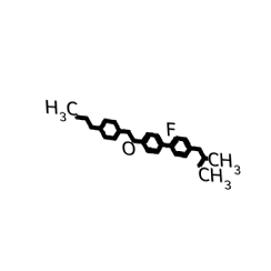 CCCCC1CCC(CC(=O)c2ccc(-c3ccc(CC(C)CC)cc3F)cc2)CC1